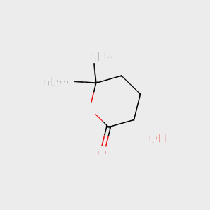 CCCCCCCCCCC1(CCCCCCCCCC)CC[C@H](O)C(=O)O1